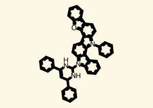 C1=C(c2ccccc2)NC(n2c3ccccc3c3c4c(ccc32)c2c3oc5ccccc5c3ccc2n4-c2ccccc2)NC1c1ccccc1